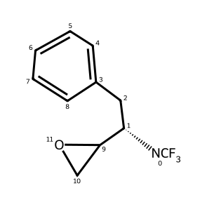 FC(F)(F)N[C@@H](Cc1ccccc1)C1CO1